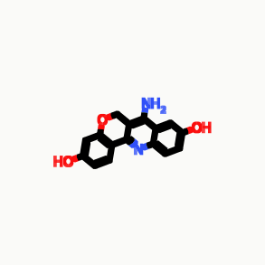 Nc1c2c(nc3ccc(O)cc13)-c1ccc(O)cc1OC2